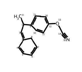 CC(C=C1C=CC=CC1)c1ccc(OC#N)cc1